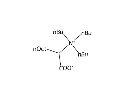 CCCCCCCCC(C(=O)[O-])[N+](CCCC)(CCCC)CCCC